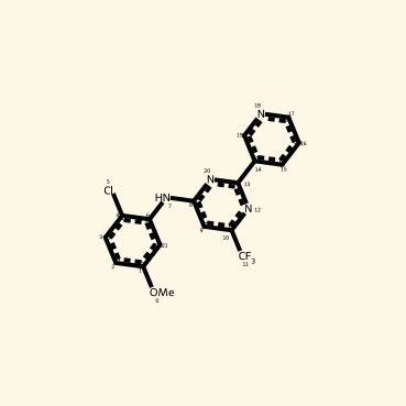 COc1ccc(Cl)c(Nc2cc(C(F)(F)F)nc(-c3cccnc3)n2)c1